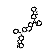 c1ccc(N(c2ccc3c(ccc4cc(N(c5ccccc5)c5ccc6c(c5)sc5ncccc56)ccc43)c2)c2ccc3c(c2)sc2ccccc23)cc1